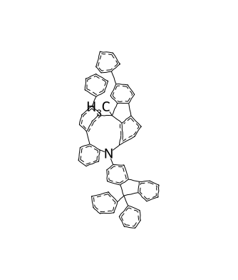 CC12c3cc(ccc3-c3ccccc3)-c3ccccc3N(c3ccc4c(c3)-c3ccccc3C4(c3ccccc3)c3ccccc3)c3ccc(c1c3)-c1ccc(-c3ccccc3)cc12